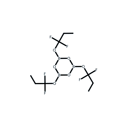 CCC(F)(F)OB1OB(OC(F)(F)CC)OB(OC(F)(F)CC)O1